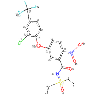 CCS(=O)(CC)=NC(=O)c1cc(Oc2ccc(C(F)(F)F)cc2Cl)ccc1[N+](=O)[O-]